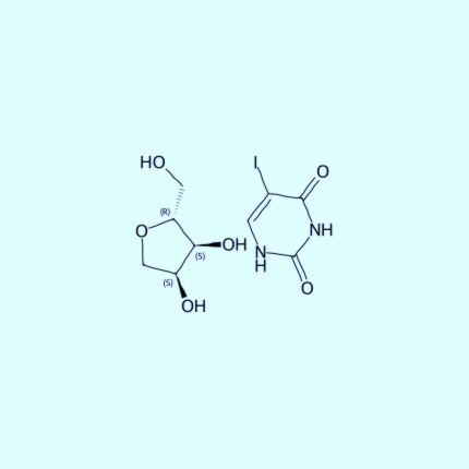 O=c1[nH]cc(I)c(=O)[nH]1.OC[C@H]1OC[C@H](O)[C@@H]1O